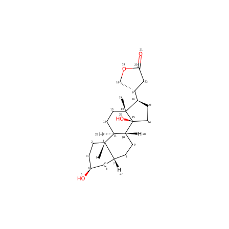 C[C@]12CC[C@H](O)C[C@H]1CC[C@@H]1[C@@H]2CC[C@]2(C)[C@@H]([C@@H]3COC(=O)C3)CC[C@]12O